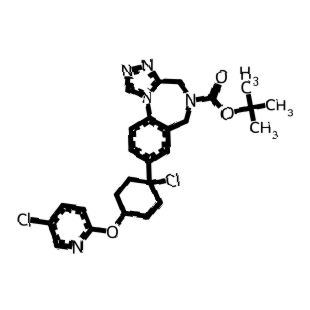 CC(C)(C)OC(=O)N1Cc2cc(C3(Cl)CCC(Oc4ccc(Cl)cn4)CC3)ccc2-n2cnnc2C1